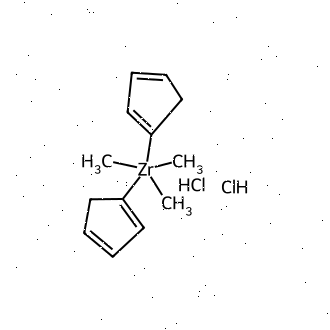 Cl.Cl.[CH3][Zr]([CH3])([CH3])([C]1=CC=CC1)[C]1=CC=CC1